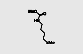 CNCCCCNC(=O)OC